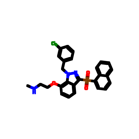 CNCCOc1cccc2c(S(=O)(=O)c3cccc4ccccc34)nn(Cc3cccc(Cl)c3)c12